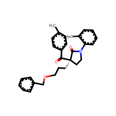 COc1ccccc1N1CC[C@@](CCCOCc2ccccc2)(C(=O)c2ccc(C)cc2)C1=O